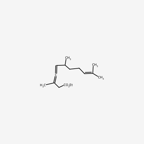 CCOC(=O)CC(C)=C=CC(C)CCC=C(C)C